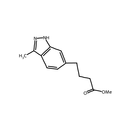 COC(=O)CCCc1ccc2c(C)n[nH]c2c1